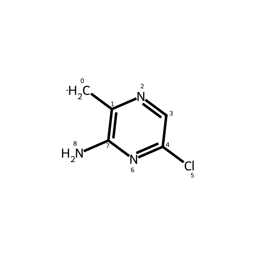 [CH2]c1ncc(Cl)nc1N